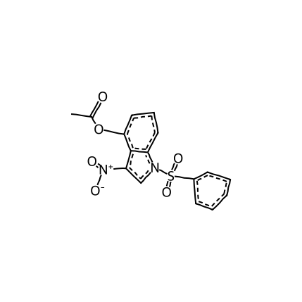 CC(=O)Oc1cccc2c1c([N+](=O)[O-])cn2S(=O)(=O)c1ccccc1